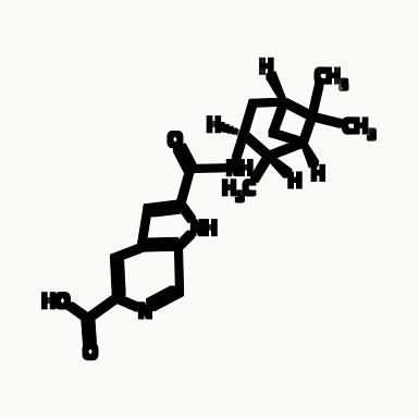 C[C@@H]1[C@@H](NC(=O)c2cc3cc(C(=O)O)ncc3[nH]2)C[C@H]2C[C@@H]1C2(C)C